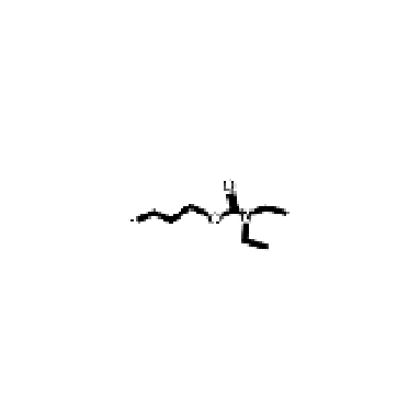 [CH2]CCCOC(=O)N(CC)CC